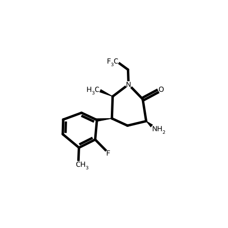 Cc1cccc([C@@H]2C[C@H](N)C(=O)N(CC(F)(F)F)[C@@H]2C)c1F